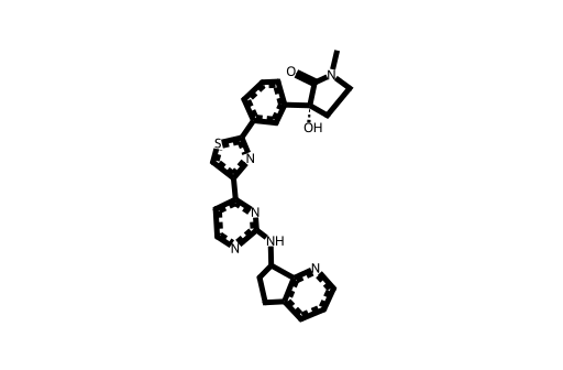 CN1CC[C@@](O)(c2cccc(-c3nc(-c4ccnc(NC5CCc6cccnc65)n4)cs3)c2)C1=O